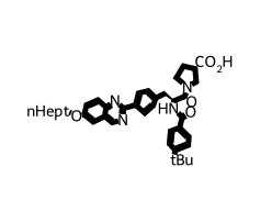 CCCCCCCOc1ccc2nc(-c3ccc(C[C@H](NC(=O)c4ccc(C(C)(C)C)cc4)C(=O)N4CC[C@H](C(=O)O)C4)cc3)ncc2c1